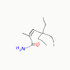 CCC(C=C(C)C(N)=O)(CC)CC